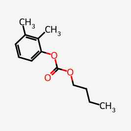 CCCCOC(=O)Oc1cccc(C)c1C